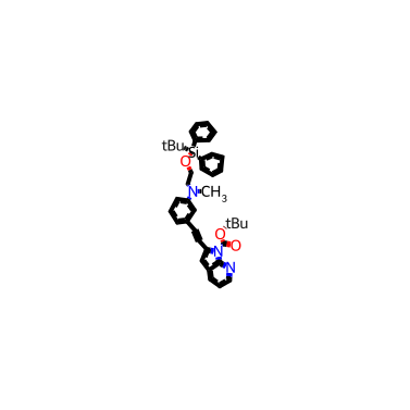 CN(CCO[Si](c1ccccc1)(c1ccccc1)C(C)(C)C)c1cccc(C#Cc2cc3cccnc3n2C(=O)OC(C)(C)C)c1